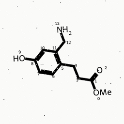 COC(=O)CCc1ccc(O)cc1CN